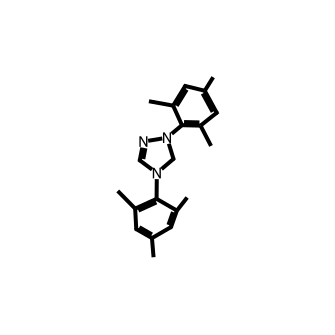 Cc1cc(C)c(N2C=NN(c3c(C)cc(C)cc3C)C2)c(C)c1